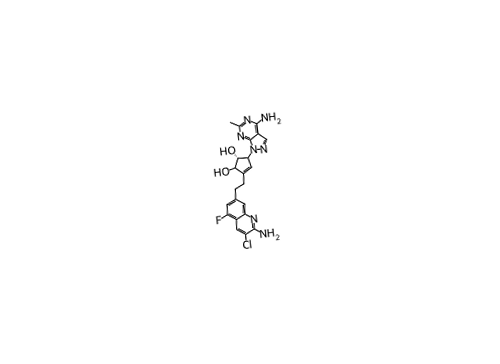 Cc1nc(N)c2cnn(C3C=C(CCc4cc(F)c5cc(Cl)c(N)nc5c4)C(O)[C@@H]3O)c2n1